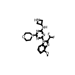 COc1cccc2c1nc(C(F)F)n2-c1nc(NC2CNC2)nc(N2CCOCC2)n1